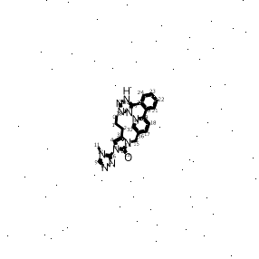 CCCc1cn(-c2nncn2C)c(=O)n1Cc1ccc(-c2ccccc2-c2nnn[nH]2)nc1